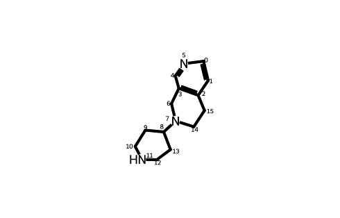 c1cc2c(cn1)CN(C1CCNCC1)CC2